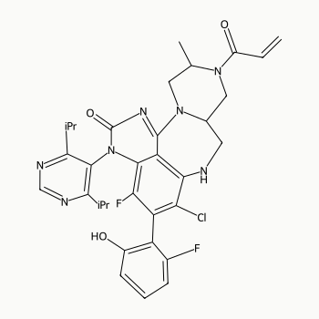 C=CC(=O)N1CC2CNc3c(Cl)c(-c4c(O)cccc4F)c(F)c4c3c(nc(=O)n4-c3c(C(C)C)ncnc3C(C)C)N2CC1C